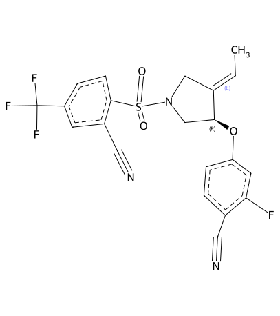 C/C=C1\CN(S(=O)(=O)c2ccc(C(F)(F)F)cc2C#N)C[C@@H]1Oc1ccc(C#N)c(F)c1